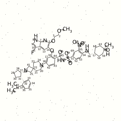 COCCOc1nc2[nH]cc(F)c2cc1Oc1cc(N2CCC3(CC2)CN([C@H]2CCC[C@H]2c2ccccc2C(C)C)C3)ccc1C(=O)NS(=O)(=O)c1ccc(NC[C@H]2CC[C@](C)(O)CC2)c([N+](=O)[O-])c1